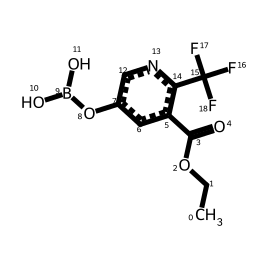 CCOC(=O)c1cc(OB(O)O)cnc1C(F)(F)F